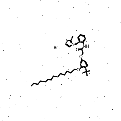 CCCCCCCCCCCCCCOc1cc(OCC(=O)Nc2ccccc2C[n+]2ccsc2C)ccc1C(C)(C)C.[Br-]